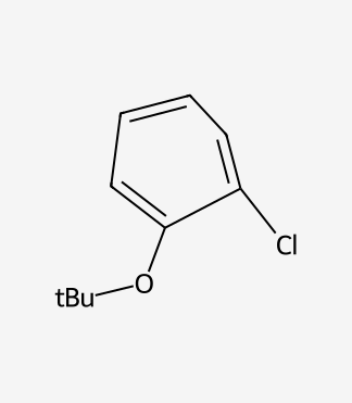 CC(C)(C)Oc1ccccc1Cl